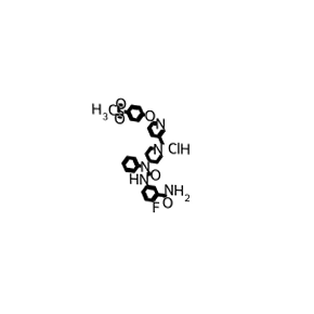 CS(=O)(=O)c1ccc(Oc2ccc(CN3CCC(N(C(=O)Nc4ccc(F)c(C(N)=O)c4)c4ccccc4)CC3)cn2)cc1.Cl